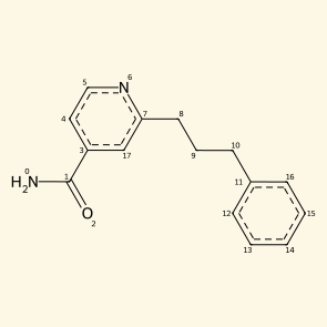 NC(=O)c1ccnc(CCCc2ccccc2)c1